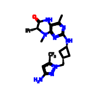 Cc1nc(N[C@H]2C[C@@H](Cn3nc(N)cc3C(F)(F)F)C2)nc2c1NC(=O)[C@H](C(C)C)N2C